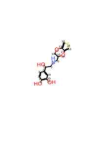 Oc1ccc(C(O)CNCC2COc3cscc3O2)cc1O